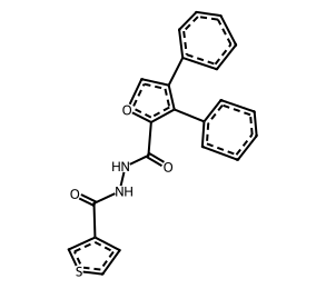 O=C(NNC(=O)c1occ(-c2ccccc2)c1-c1ccccc1)c1ccsc1